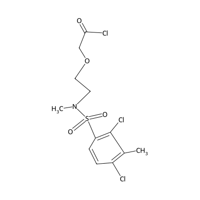 Cc1c(Cl)ccc(S(=O)(=O)N(C)CCOCC(=O)Cl)c1Cl